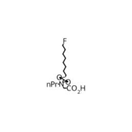 CCCN(CC(=O)O)S(=O)(=O)CCCCCCCCF